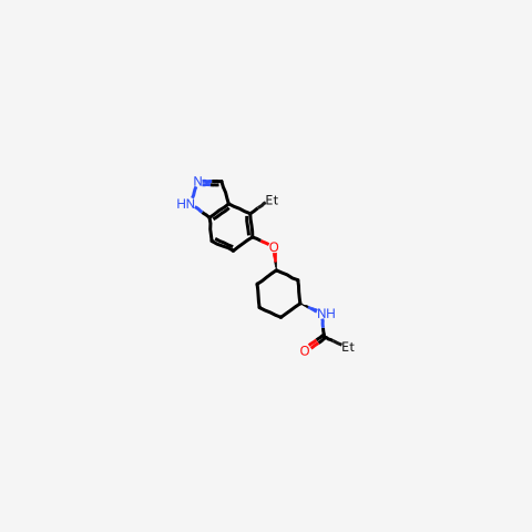 CCC(=O)N[C@H]1CCC[C@@H](Oc2ccc3[nH]ncc3c2CC)C1